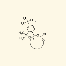 CC(C)(C)c1ccc(C2CCCCCCCOP(O)O2)c(C(C)(C)C)c1